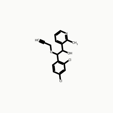 C#CCOC(c1ccc(Cl)cc1Cl)C(O)c1cccnc1C